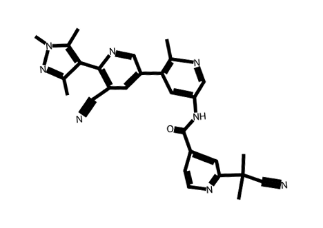 Cc1ncc(NC(=O)c2ccnc(C(C)(C)C#N)c2)cc1-c1cnc(-c2c(C)nn(C)c2C)c(C#N)c1